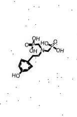 O=P(O)(O)CN(CCc1ccc(O)cc1)CP(=O)(O)O